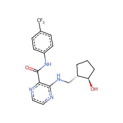 O=C(Nc1ccc(C(F)(F)F)cc1)c1nccnc1NC[C@@H]1CCC[C@H]1O